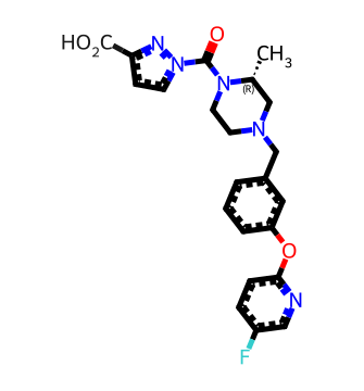 C[C@@H]1CN(Cc2cccc(Oc3ccc(F)cn3)c2)CCN1C(=O)n1ccc(C(=O)O)n1